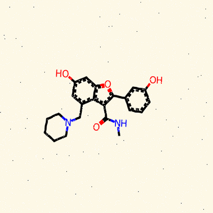 CNC(=O)c1c(-c2cccc(O)c2)oc2cc(O)cc(CN3CCCCC3)c12